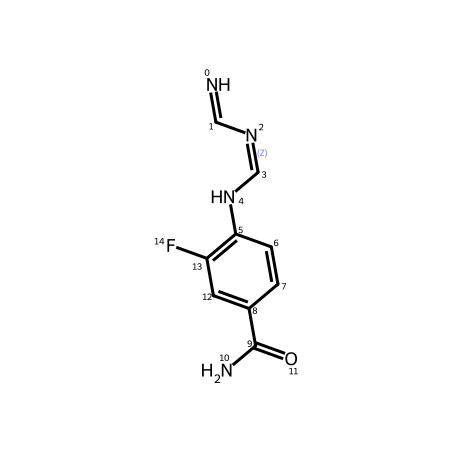 N=C/N=C\Nc1ccc(C(N)=O)cc1F